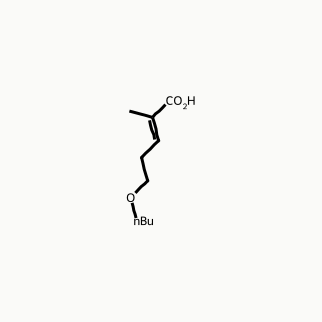 CCCCOCCC=C(C)C(=O)O